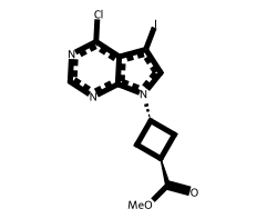 COC(=O)[C@H]1C[C@H](n2cc(I)c3c(Cl)ncnc32)C1